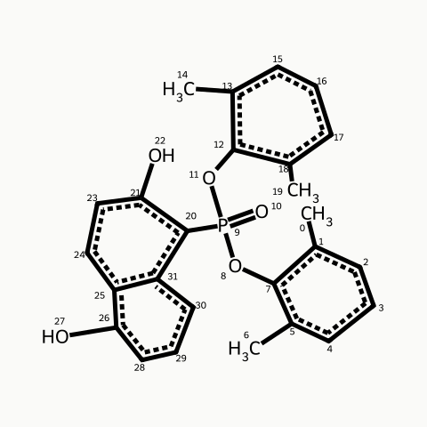 Cc1cccc(C)c1OP(=O)(Oc1c(C)cccc1C)c1c(O)ccc2c(O)cccc12